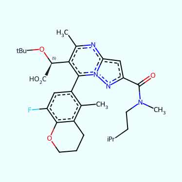 Cc1nc2cc(C(=O)N(C)CCC(C)C)nn2c(-c2cc(F)c3c(c2C)CCCO3)c1[C@H](OC(C)(C)C)C(=O)O